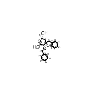 OC[C@@H]1C[C@@](O)(Cc2ccccc2)[C@@H](OCc2ccccc2)[C@H](O)O1